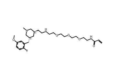 C=CC(=O)NCCOCCOCCOCCNCC[C@H]1C[C@H](Cc2cc(OC)ccc2F)CN(C)C1